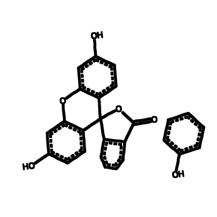 O=C1OC2(c3ccc(O)cc3Oc3cc(O)ccc32)c2ccccc21.Oc1ccccc1